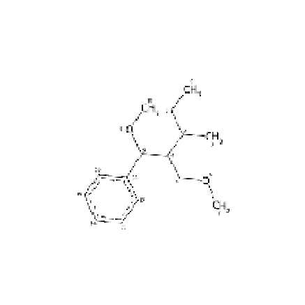 CCC(C)C(COC)C(OC)c1ccccc1